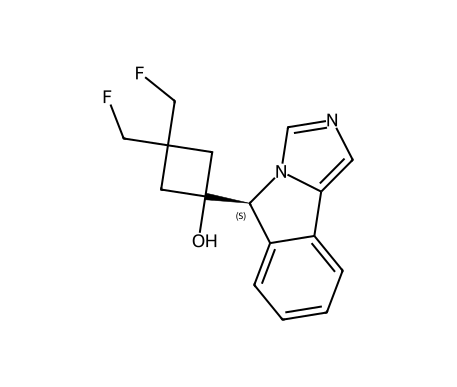 OC1([C@@H]2c3ccccc3-c3cncn32)CC(CF)(CF)C1